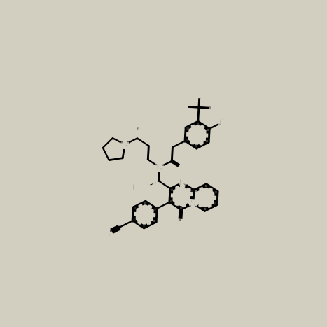 C[C@H](CCN(C(=O)Cc1ccc(F)c(C(F)(F)F)c1)[C@H](C)c1nc2ccccn2c(=O)c1-c1ccc(C#N)cc1)N1CCCC1